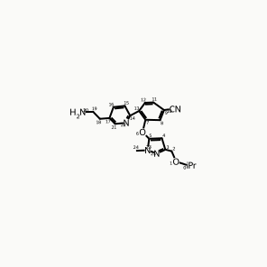 CC(C)OCc1cc(Oc2cc(C#N)ccc2-c2ccc(CCN)cn2)n(C)n1